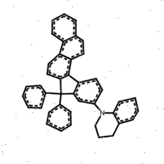 c1ccc(C2(c3ccccc3)c3cc(N4CCCc5ccccc54)ccc3-c3c2ccc2c3ccc3ccccc32)cc1